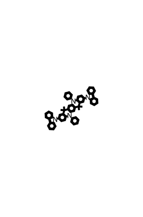 CC1(C)c2cc(-n3c4ccccc4c4ccccc43)ccc2N(c2ccccc2)c2cc3c(cc21)N(c1ccccc1)c1ccc(-n2c4ccccc4c4ccccc42)cc1C3(C)C